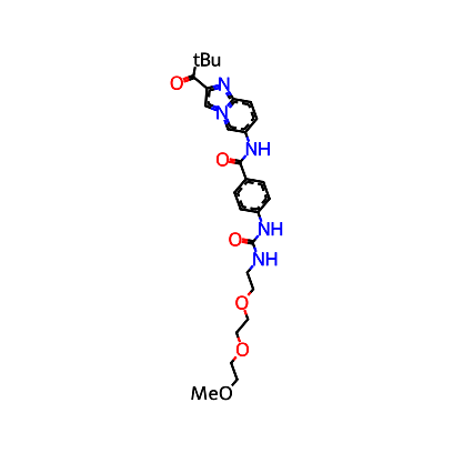 COCCOCCOCCNC(=O)Nc1ccc(C(=O)Nc2ccc3nc(C(=O)C(C)(C)C)cn3c2)cc1